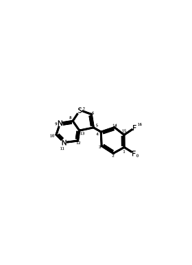 Fc1ccc(-c2csc3ncncc23)cc1F